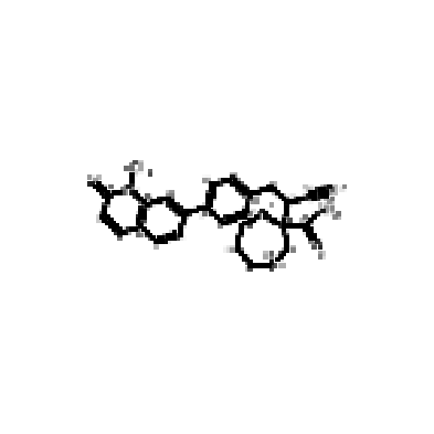 Cn1c(=O)ccc2ccc(-c3ccc(CC(C#N)C4(C(N)=O)CNCCCO4)cc3)cc21